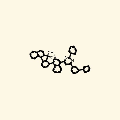 CC1(C)c2ccc3ccccc3c2-c2cccc(-c3ccc(-c4cc(-c5cccc(-c6ccccc6)c5)nc(-c5ccccc5)n4)c4ccccc34)c21